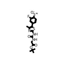 Cc1nc(NC(=O)NCC(=O)OC(C)(C)C)sc1-c1ccc([S+](C)[O-])c(F)c1